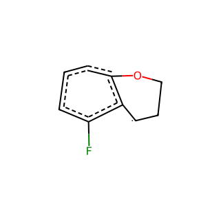 Fc1cccc2c1[CH]CCO2